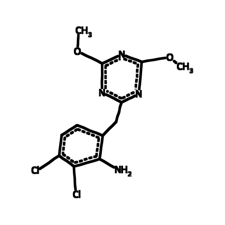 COc1nc(Cc2ccc(Cl)c(Cl)c2N)nc(OC)n1